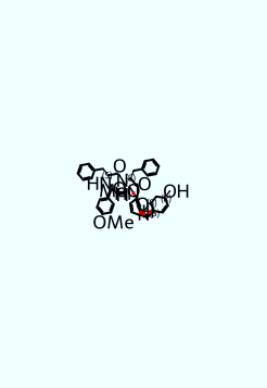 COc1ccc(C(=O)N[C@@H](Cc2ccccc2)C(=O)N[C@@H](Cc2ccccc2)C(=O)NN2CC[C@@]34C=C[C@H](O)C[C@@H]3Oc3c(OC)ccc(c34)C2)cc1